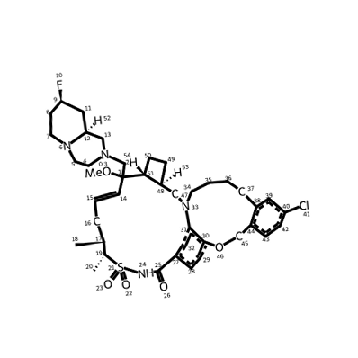 COC1(CN2CCN3CC[C@@H](F)C[C@H]3C2)/C=C/C[C@H](C)[C@@H](C)S(=O)(=O)NC(=O)c2ccc3c(c2)N(CCCCc2cc(Cl)ccc2CO3)C[C@@H]2CC[C@H]21